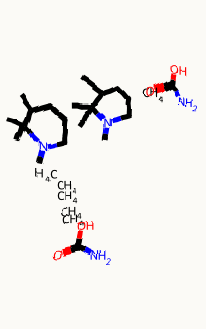 C.C.C.C.C.C.CC1CCCN(C)C1(C)C.CC1CCCN(C)C1(C)C.NC(=O)O.NC(=O)O